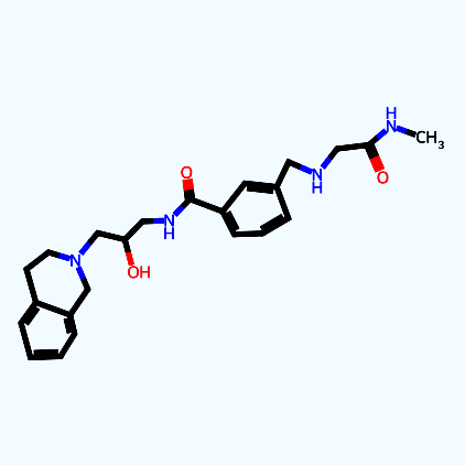 CNC(=O)CNCc1cccc(C(=O)NCC(O)CN2CCc3ccccc3C2)c1